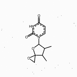 CC1C(n2ccc(=O)[nH]c2=O)OC2(CO2)C1C